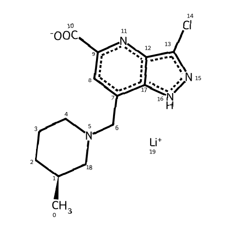 C[C@H]1CCCN(Cc2cc(C(=O)[O-])nc3c(Cl)n[nH]c23)C1.[Li+]